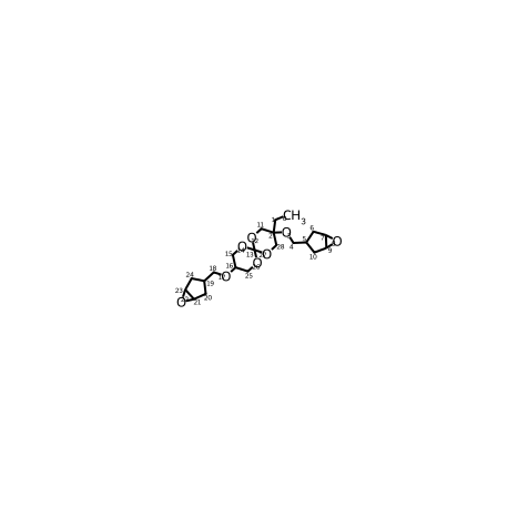 CCC1(OCC2CC3OC3C2)COC2(OCC(OCC3CC4OC4C3)CO2)OC1